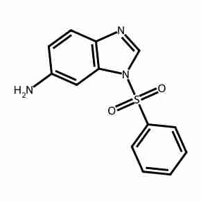 Nc1ccc2ncn(S(=O)(=O)c3ccccc3)c2c1